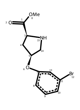 COC(=O)[C@@H]1C[C@H](Oc2cccc(Br)c2)CN1